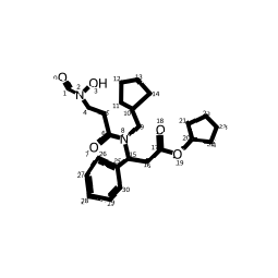 O=CN(O)CCC(=O)N(CC1CCCC1)C(CC(=O)OC1CCCC1)c1ccccc1